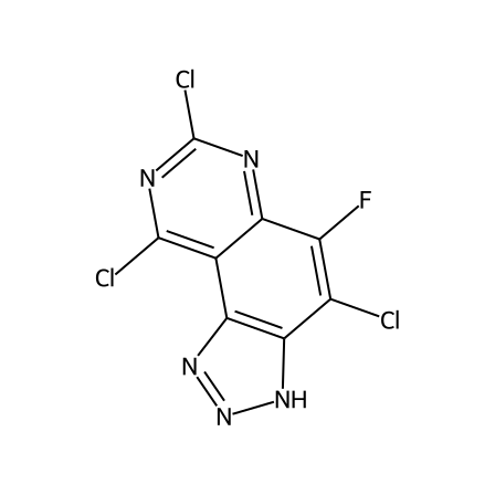 Fc1c(Cl)c2[nH]nnc2c2c(Cl)nc(Cl)nc12